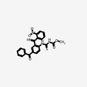 COC(=O)NC(=S)Nc1ccc(C(=O)c2ccccc2)cc1C(=N)c1ccccc1[N+](=O)[O-]